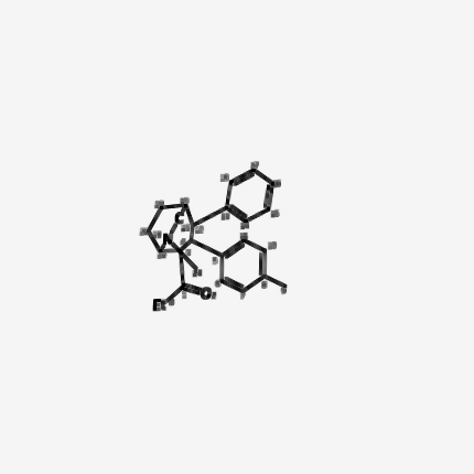 CCC(=O)C1C(c2ccc(C)cc2)C(c2ccccc2)C2CCC1N(C)C2